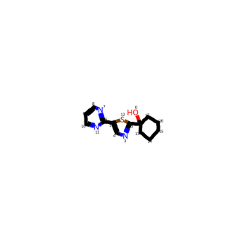 OC1(c2ncc(-c3ncccn3)s2)CCCCC1